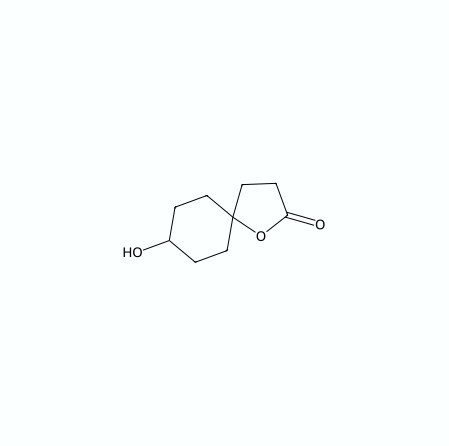 O=C1CCC2(CCC(O)CC2)O1